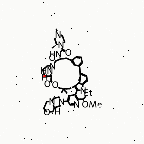 CCn1c(-c2cc(N3CCN4CCOC[C@@H]4C3)cnc2[C@H](C)OC)c2c3cc(ccc31)-c1cccc(c1)C[C@H](NC(=O)N1CCN(C)C[C@@H]1C)C(=O)N1CCC[C@H](N1)C(=O)OCC(C)(C)C2